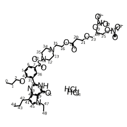 CCCOc1ccc(S(=O)(=O)N2CCN(CCOC(=O)CCOC[C@@H](CO[N+](=O)[O-])O[N+](=O)[O-])CC2)cc1-c1nc2c(CCC)cn(CC)c2c(=O)[nH]1.Cl.Cl